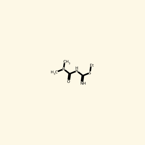 CCSC(=N)NC(=O)N(C)C